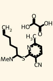 C=CCCCC(NC)Sc1nc(C)ccc1C#N.O=C(O)C(=O)O